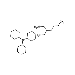 C1CC[CH]([Al]([CH]2CCCCC2)[CH]2CCCCC2)CC1.CCCCC(CC)[CH2][AlH2]